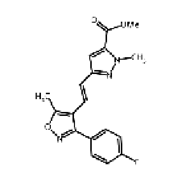 COC(=O)c1cc(C=Cc2c(-c3ccc(F)cc3)noc2C)nn1C